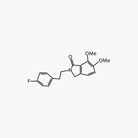 COc1ccc2c(c1OC)C(=O)N(CCc1ccc(F)cc1)C2